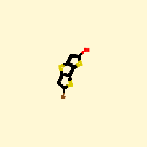 Oc1cc2sc3cc(Br)sc3c2s1